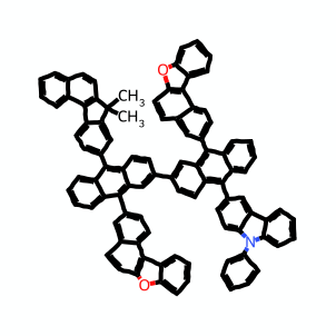 CC1(C)c2cc(-c3c4ccccc4c(-c4ccc5c(ccc6oc7ccccc7c65)c4)c4cc(-c5ccc6c(-c7ccc8c(c7)c7ccccc7n8-c7ccccc7)c7ccccc7c(-c7ccc8c(ccc9oc%10ccccc%10c98)c7)c6c5)ccc34)ccc2-c2c1ccc1ccccc21